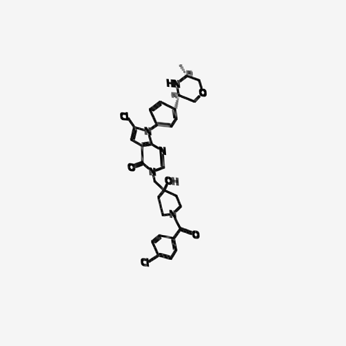 C[C@@H]1COC[C@H](c2ccc(-n3c(Cl)cc4c(=O)n(CC5(O)CCN(C(=O)c6ccc(Cl)cc6)CC5)cnc43)cc2)N1